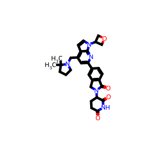 CC1(C)CCCN1Cc1cc(-c2ccc3c(c2)CN(C2CCC(=O)NC2=O)C3=O)nc2c1ccn2C1COC1